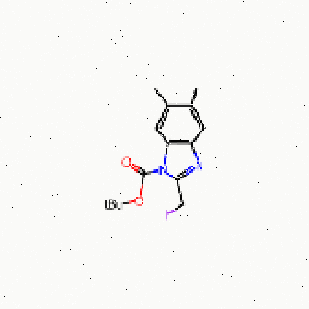 Cc1cc2nc(CI)n(C(=O)OC(C)(C)C)c2cc1C